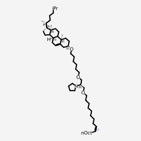 CCCCCCCC/C=C\CCCCCCCCOC[C@H](COCCCCCCO[C@H]1CC[C@@]2(C)C(=CC[C@@H]3C2CC[C@@]2(C)C3CC[C@@H]2[C@H](C)CCCC(C)C)C1)N1CCCC1